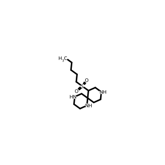 CCCCCS(=O)(=O)C1CNCCC12CNCCN2